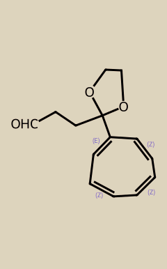 O=CCCC1(C2=C/C=C\C=C/C=C\2)OCCO1